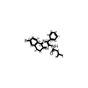 CC(C)CC(=O)Nc1nc2c(nc1-c1ccccc1)-c1ccc(F)cc1CC2